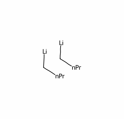 [Li][CH2]CCC.[Li][CH2]CCC